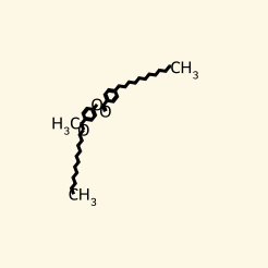 CCCCCCCCCCCCOC(C)c1ccc(OC(=O)c2ccc(CCCCCCCCCCCC)cc2)cc1